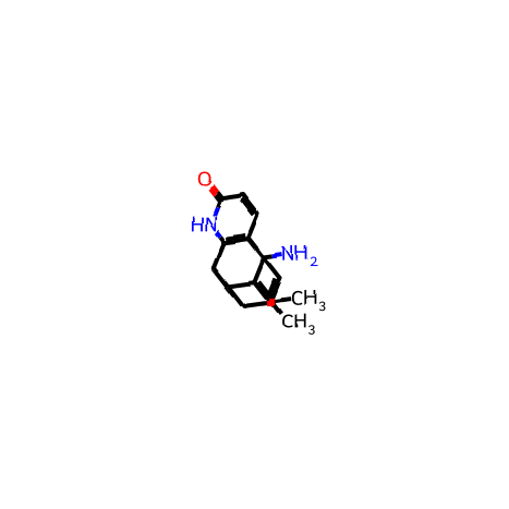 C/C=C1/C2CC(C)=CC1(N)c1ccc(=O)[nH]c1C2